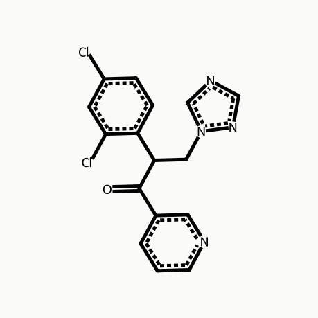 O=C(c1cccnc1)C(Cn1cncn1)c1ccc(Cl)cc1Cl